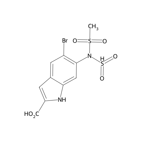 CS(=O)(=O)N(c1cc2[nH]c(C(=O)O)cc2cc1Br)[SH](=O)=O